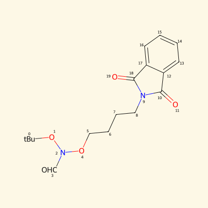 CC(C)(C)ON(C=O)OCCCCN1C(=O)c2ccccc2C1=O